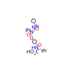 CC(C)CC(NC(=O)c1ccc(OCC(=O)N(Cc2nc(-c3ccccc3)no2)C(C)C)cc1)C(=O)O